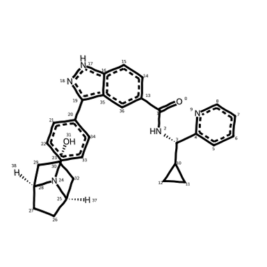 O=C(N[C@H](c1ccccn1)C1CC1)c1ccc2[nH]nc(-c3ccc(N4[C@@H]5CC[C@H]4C[C@H](O)C5)cc3)c2c1